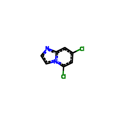 Clc1cc(Cl)n2ccnc2c1